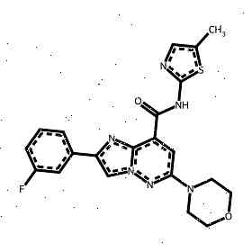 Cc1cnc(NC(=O)c2cc(N3CCOCC3)nn3cc(-c4cccc(F)c4)nc23)s1